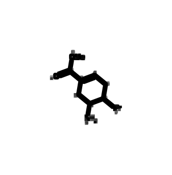 COC(=O)C1=CCC(C(C)C)C(N)C1